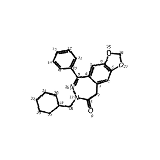 O=C1Cc2cc3c(cc2C(c2ccccc2)=NN1CC1CCCCC1)OCO3